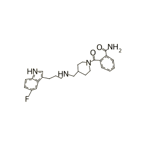 NC(=O)c1ccccc1C(=O)N1CCC(CNCCCc2c[nH]c3ccc(F)cc23)CC1